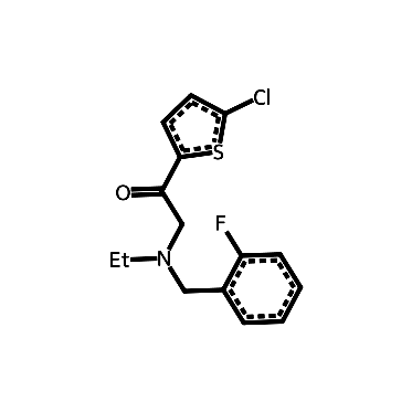 CCN(CC(=O)c1ccc(Cl)s1)Cc1ccccc1F